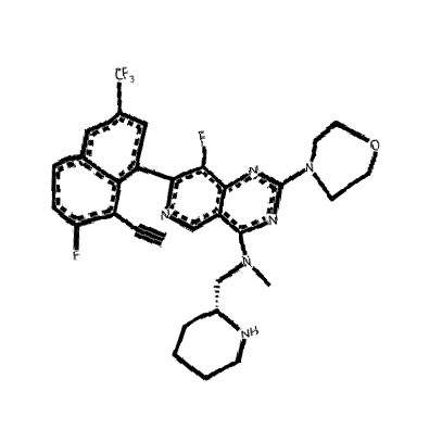 C#Cc1c(F)ccc2cc(C(F)(F)F)cc(-c3ncc4c(N(C)C[C@H]5CCCCN5)nc(N5CCOCC5)nc4c3F)c12